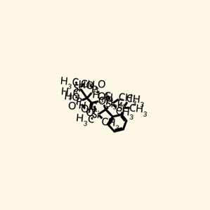 C[Si](C)(C)c1ccccc1C(OC(=O)C([Si](C)(C)C)(P(=O)(O)O)P(=O)(O)O)([Si](C)(C)C)[Si](C)(C)C